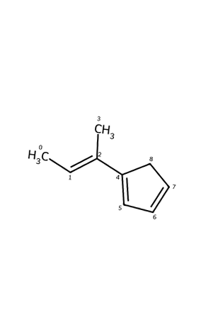 CC=C(C)C1=CC=CC1